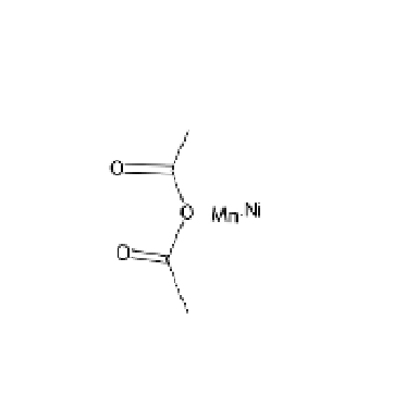 CC(=O)OC(C)=O.[Mn].[Ni]